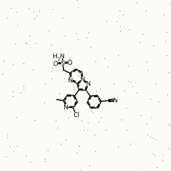 Cc1cc(-c2c(-c3cccc(C#N)c3)nn3ccc(CS(N)(=O)=O)nc23)cc(Cl)n1